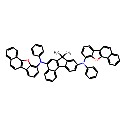 CC1(C)c2cc(N(c3ccccc3)c3cccc4c3oc3c5ccccc5ccc43)ccc2-c2c1cc(N(c1ccccc1)c1cccc3c1oc1c4ccccc4ccc31)c1ccccc21